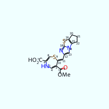 COC(=O)C1=CNC(C(=O)O)=CSC1=Cc1cn2c3c(sc2n1)CCC3